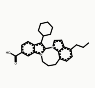 CCCc1ccc2c3c1ccn3-c1c(C3CCCCC3)c3ccc(C(=O)O)cc3n1CCC2